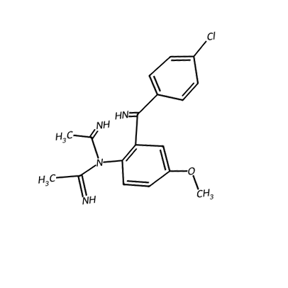 COc1ccc(N(C(C)=N)C(C)=N)c(C(=N)c2ccc(Cl)cc2)c1